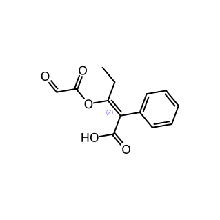 CC/C(OC(=O)C=O)=C(/C(=O)O)c1ccccc1